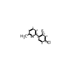 Cc1cccc(-c2ccc(Cl)cc2F)n1